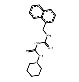 N=C(NCc1cccc2ccccc12)NC(=N)NN1CCCCC1